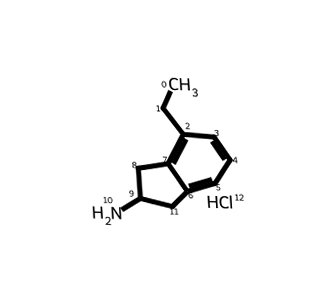 CCc1cccc2c1CC(N)C2.Cl